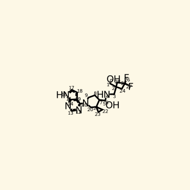 OCC1(CNC(O)C2CCN(c3ncnc4[nH]ccc34)CC23CC3)CC(F)(F)C1